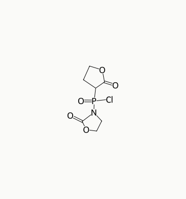 O=C1OCCC1P(=O)(Cl)N1CCOC1=O